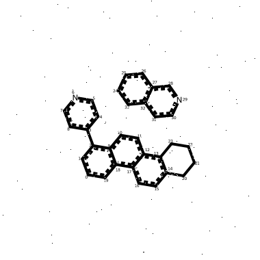 c1cc(-c2ccncc2)c2ccc3c4c(ccc3c2c1)CCCC4.c1ccc2cnccc2c1